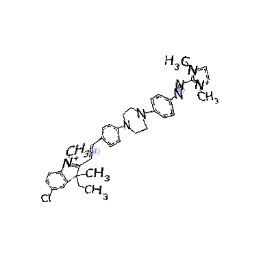 CCC1(C)C(/C=C/c2ccc(N3CCN(c4ccc(/N=N/c5n(C)cc[n+]5C)cc4)CC3)cc2)=[N+](C)c2ccc(Cl)cc21